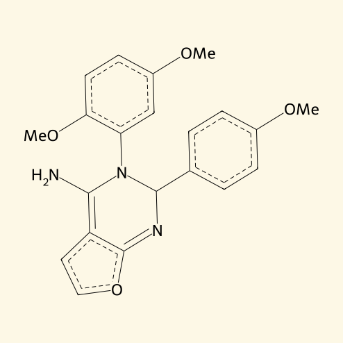 COc1ccc(C2N=c3occc3=C(N)N2c2cc(OC)ccc2OC)cc1